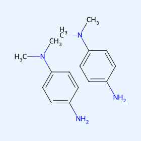 CN(C)c1ccc(N)cc1.CN(C)c1ccc(N)cc1